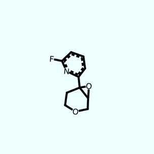 Fc1cccc(C23CCOCC2O3)n1